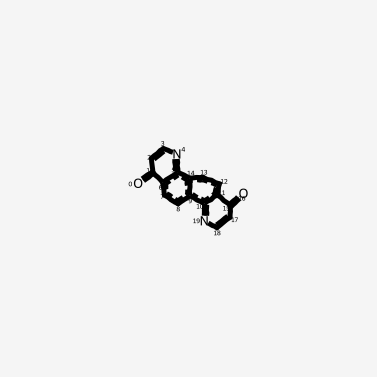 O=C1C=CN=c2c1ccc1c3c(ccc21)C(=O)C=CN=3